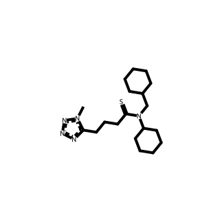 Cn1nnnc1CCCC(=S)N(CC1CCCCC1)C1CCCCC1